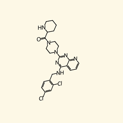 O=C(C1CCCCN1)N1CCN(c2nc(NCc3ccc(Cl)cc3Cl)c3cccnc3n2)CC1